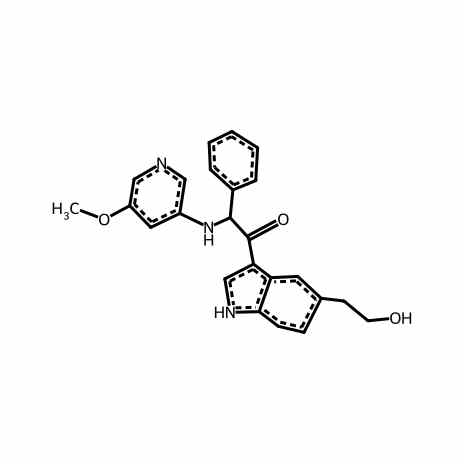 COc1cncc(NC(C(=O)c2c[nH]c3ccc(CCO)cc23)c2ccccc2)c1